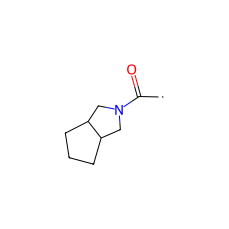 [CH2]C(=O)N1CC2CCCC2C1